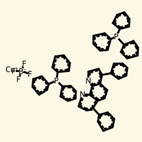 F[B-](F)(F)F.[Cu+].c1ccc(-c2ccnc3c2ccc2c(-c4ccccc4)ccnc23)cc1.c1ccc(P(c2ccccc2)c2ccccc2)cc1.c1ccc(P(c2ccccc2)c2ccccc2)cc1